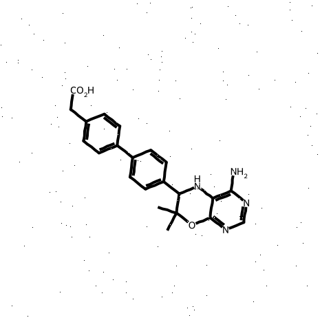 CC1(C)Oc2ncnc(N)c2NC1c1ccc(-c2ccc(CC(=O)O)cc2)cc1